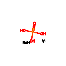 O=P(O)(O)O.[NaH].[V]